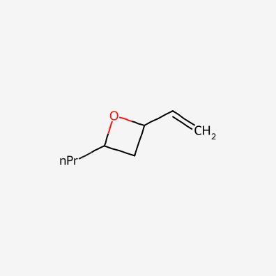 C=CC1CC(CCC)O1